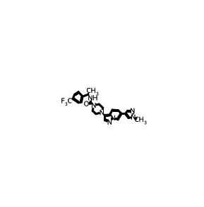 C[C@@H](NC(=O)N1CCN(c2cnn3cc(-c4cnn(C)c4)ccc23)CC1)c1ccc(C(F)(F)F)cc1